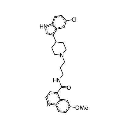 COc1ccc2nccc(C(=O)NCCCN3CCC(c4c[nH]c5ccc(Cl)cc45)CC3)c2c1